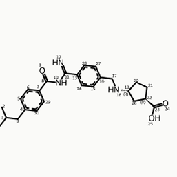 CC(C)Cc1ccc(C(=O)NC(=N)c2ccc(CN[C@@H]3CC[C@@H](C(=O)O)C3)cc2)cc1